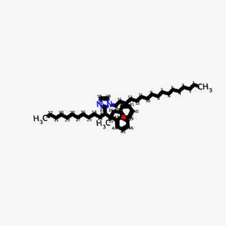 CCCCCCCCCCCCCCCCCn1ccnc1C(CCCCCCCCCCC)C(C)(Cc1ccccc1)c1ccccc1